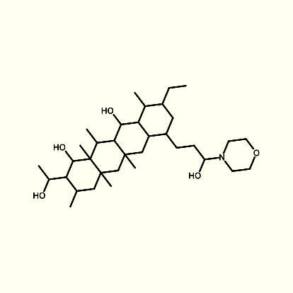 CCC1CC(CCC(O)N2CCOCC2)C2CC3(C)CC4(C)CC(C)C(C(C)O)C(O)C4(C)C(C)C3C(O)C2C1C